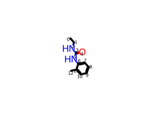 CCNC(=O)Nc1ccccc1C